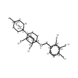 CC12CCC(C34CCC(OCc5ccc(I)c(F)c5F)(CC3)C(F)=C4F)(CC1)CC2